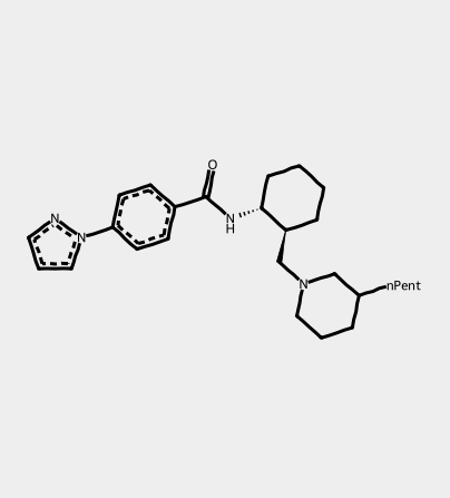 CCCCCC1CCCN(C[C@@H]2CCCC[C@H]2NC(=O)c2ccc(-n3cccn3)cc2)C1